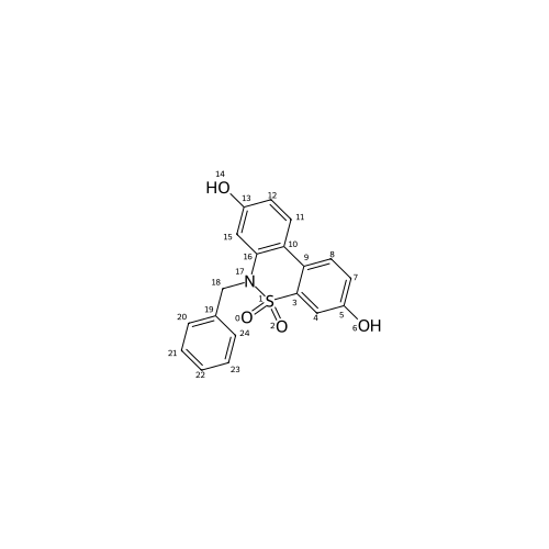 O=S1(=O)c2cc(O)ccc2-c2ccc(O)cc2N1Cc1ccccc1